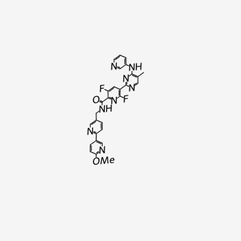 COc1ccc(-c2ccc(CNC(=O)c3nc(F)c(-c4ncc(C)c(Nc5cccnc5)n4)cc3F)cn2)cn1